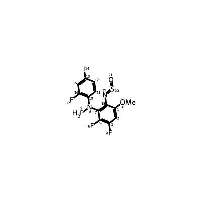 COc1cc(F)c(F)c(N(P)c2ccc(I)cc2F)c1N=S=O